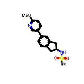 COc1ccc(-c2ccc3c(c2)CC(NS(=O)(=O)C(C)C)C3)cn1